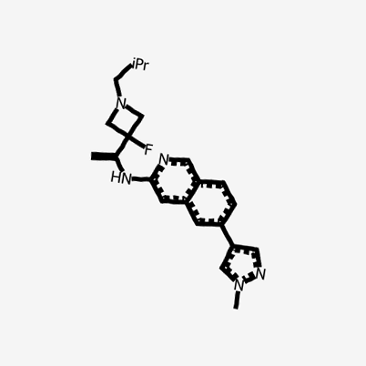 C=C(Nc1cc2cc(-c3cnn(C)c3)ccc2cn1)C1(F)CN(CC(C)C)C1